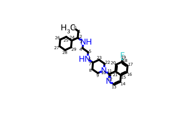 CCC(NCCNC1CCN(c2nccc3ccc(F)cc23)CC1)C1CCCCC1